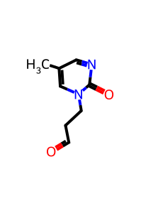 Cc1cnc(=O)n(CCC=O)c1